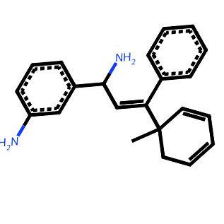 CC1(/C(=C/C(N)c2cccc(N)c2)c2ccccc2)C=CC=CC1